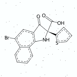 O=C(O)[C@]1(c2cccs2)Nc2c(cc(Br)c3ccccc23)C1=O